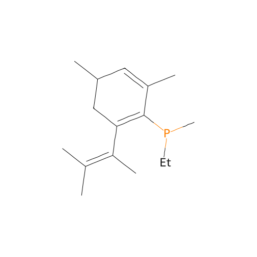 CCP(C)C1=C(C(C)=C(C)C)CC(C)C=C1C